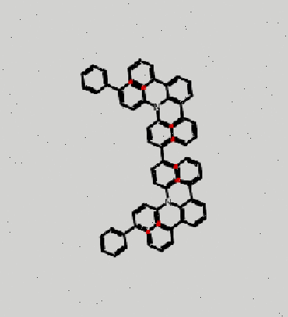 Cc1cc(-c2ccc(N(c3ccc(-c4ccccc4)cc3)c3c(-c4ccccc4)cccc3-c3ccccc3)c(C)c2)ccc1N(c1ccc(-c2ccccc2)cc1)c1c(-c2ccccc2)cccc1-c1ccccc1